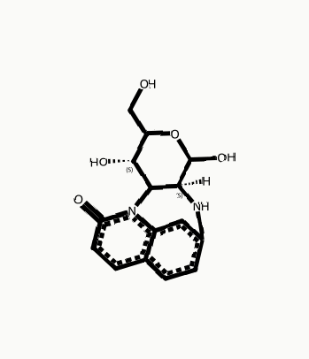 O=c1ccc2ccc3cc2n1C1[C@H](O)C(CO)OC(O)[C@H]1N3